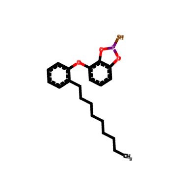 CCCCCCCCCc1ccccc1Oc1cccc2c1OP(S)O2